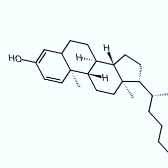 CC(C)CCC[C@@H](C)[C@H]1CC[C@H]2[C@@H]3CCC4C=C(O)C=C[C@]4(C)[C@H]3CC[C@]12C